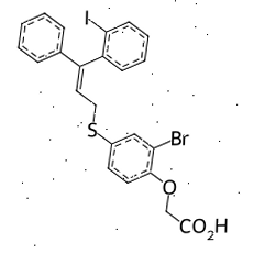 O=C(O)COc1ccc(SCC=C(c2ccccc2)c2ccccc2I)cc1Br